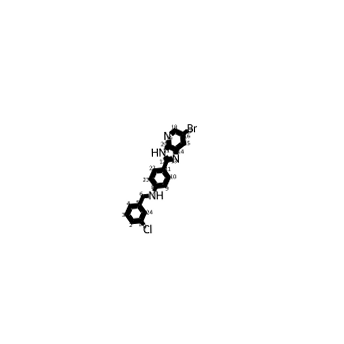 Clc1cccc(CNc2ccc(-c3nc4cc(Br)cnc4[nH]3)cc2)c1